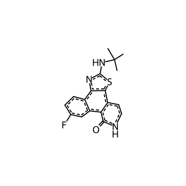 CC(C)(C)Nc1nc2c3ccc(F)cc3c3c(=O)[nH]ccc3c2s1